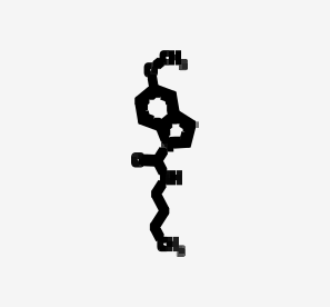 CCCCNC(=O)n1c[c]c2cc(OC)ccc21